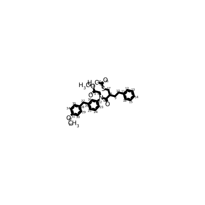 COC(=O)CN(C(=O)C(CCc1ccccc1)CSC(C)=O)c1cccc(Cc2ccc(OC)cc2)c1